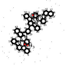 CC1(C)c2ccccc2-c2ccc3c4ccccc4n(B4c5ccccc5-n5c6ccc(-c7cc8c(c9c7c7ccccc7n9B7c9ccccc9-n9c%10ccc%11ccccc%11c%10c%10cccc7c%109)C(C)(C)c7ccccc7-8)cc6c6c7ccccc7cc4c65)c3c21